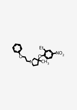 CCc1cc([N+](=O)[O-])ccc1OC1(C)CCN(CCOc2ccccc2)C1